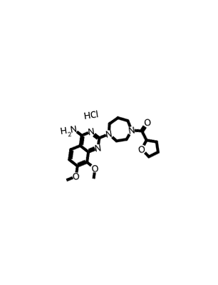 COc1ccc2c(N)nc(N3CCCN(C(=O)C4CCCO4)CC3)nc2c1OC.Cl